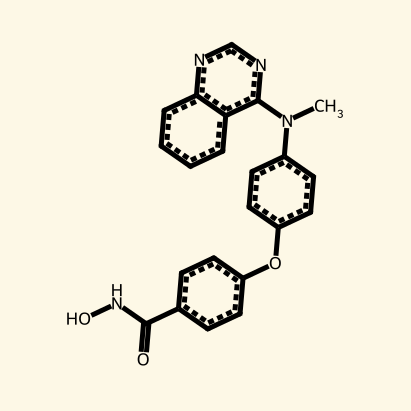 CN(c1ccc(Oc2ccc(C(=O)NO)cc2)cc1)c1ncnc2ccccc12